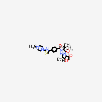 CC[C@@H]1CN(C(=O)[C@@H](NC(=O)c2ccc(-c3csc(N4CCN(C)CC4)n3)cc2)C(C)(C)CC)[C@@H]2C(=O)CO[C@H]12